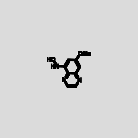 COc1cc(NO)c2nccnc2c1